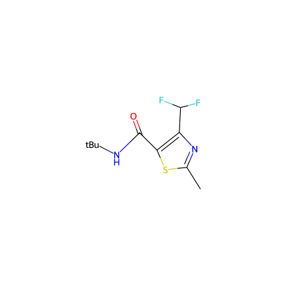 Cc1nc(C(F)F)c(C(=O)NC(C)(C)C)s1